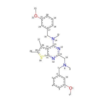 COc1cccc(CN(C)Cc2nc(N(C)Cc3cccc(OC)c3)c3c(C)c(C)sc3n2)c1